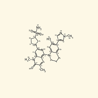 Cc1cc2c(N3CCCc4cc(-c5cnn(C)c5)c(O)cc43)nc(N3CCC(S(N)(=O)=O)C3)cc2n(C)c1=O